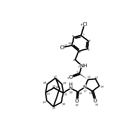 O=C(NCc1ccc(Cl)cc1Cl)[C@@H]1CCC(=O)N1C(=O)NC12CC3CC(CC(C3)C1)C2